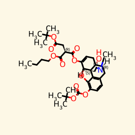 CCCCOC(=O)[C@@H](CC(=O)OC(C)(C)C)C(=O)OC1=CC[C@@]2(O)[C@H]3Cc4ccc(OC(=O)OC(C)(C)C)c5c4[C@@]2(CCN3C)[C@H]1O5